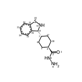 NNC(=O)[C@H]1CC[C@H](C2NSc3ccccc32)CC1